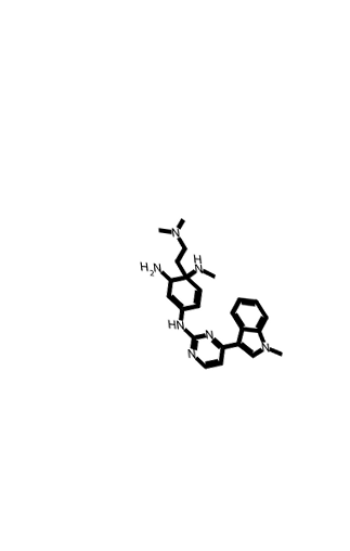 CNC1(CCN(C)C)C=CC(Nc2nccc(-c3cn(C)c4ccccc34)n2)=CC1N